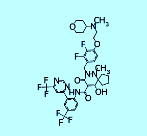 CN(CCOc1ccc(CN2C(=O)C(C(=O)Nc3ccc(C(F)(F)F)cc3-c3cc(C(F)(F)F)ncn3)=C(O)C3(CCCC3)N2C)c(F)c1F)C1CCOCC1